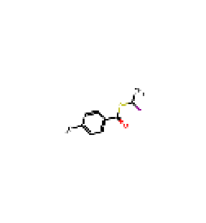 Cc1ccc(C(=O)SC(C)I)cc1